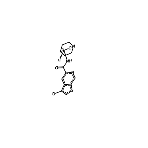 O=C(N[C@H]1CN2CCC1CC2)c1cc2c(Cl)csc2cn1